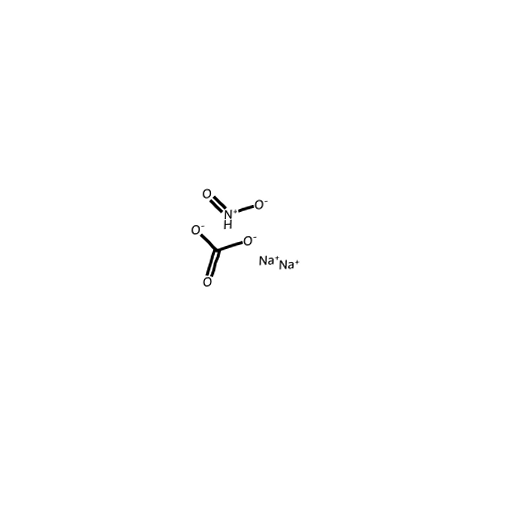 O=C([O-])[O-].O=[NH+][O-].[Na+].[Na+]